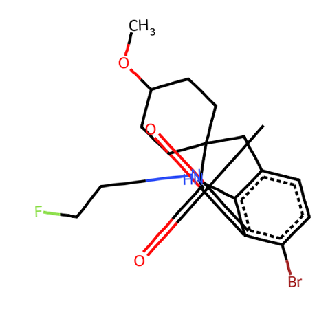 COC1CCC2(CC1)Cc1ccc(Br)cc1[C@]21NC(=O)N(CCF)C1=O